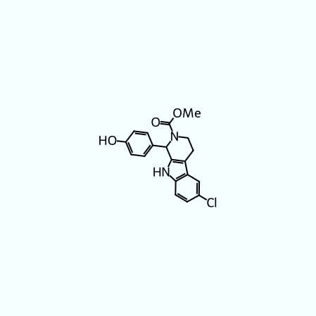 COC(=O)N1CCc2c([nH]c3ccc(Cl)cc23)C1c1ccc(O)cc1